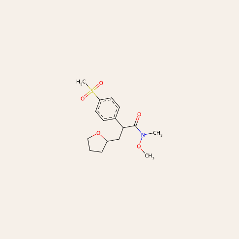 CON(C)C(=O)C(CC1CCCO1)c1ccc(S(C)(=O)=O)cc1